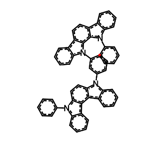 c1ccc(-n2c3ccccc3c3c4c5ccccc5n(-c5cccc(-n6c7ccccc7c7ccc8c9ccccc9n(-c9ccccc9)c8c76)c5)c4ccc32)cc1